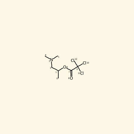 CC(CN(C)C)OC(=O)C(Cl)(Cl)Cl